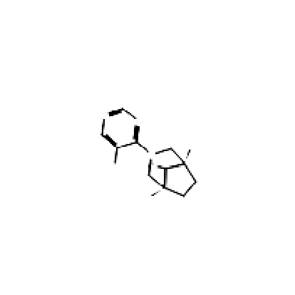 N[C@@H]1[C@@H]2CC[C@H]1CN(c1ncncc1F)C2